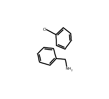 Clc1cc[c]cc1.NCc1cc[c]cc1